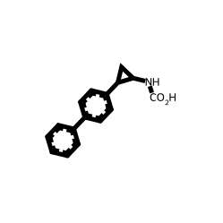 O=C(O)NC1CC1c1ccc(-c2ccccc2)cc1